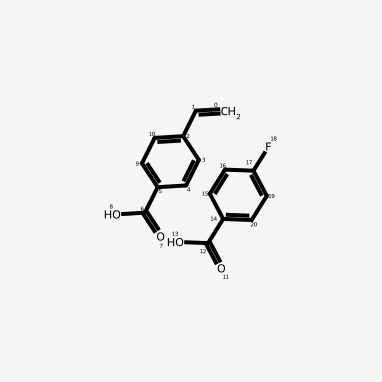 C=Cc1ccc(C(=O)O)cc1.O=C(O)c1ccc(F)cc1